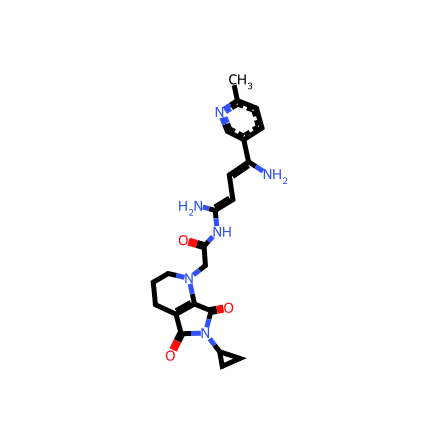 Cc1ccc(/C(N)=C/C=C(\N)NC(=O)CN2CCCC3=C2C(=O)N(C2CC2)C3=O)cn1